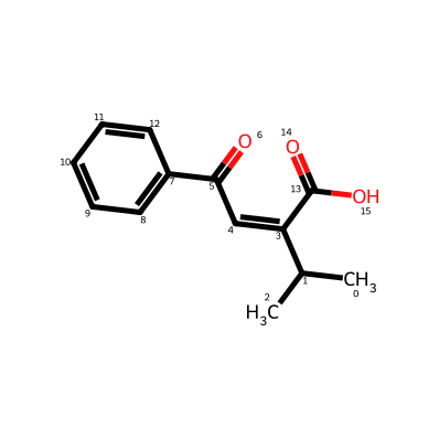 CC(C)C(=CC(=O)c1ccccc1)C(=O)O